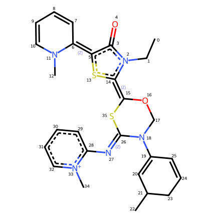 CCn1c(=O)/c(=C2\C=CC=CN2C)s/c1=C1/OCN(C2=CC(C)CC=C2)/C(=N/c2cccc[n+]2C)S1